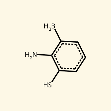 Bc1cccc(S)c1N